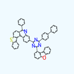 c1ccc(-c2ccc(-c3nc(-c4ccc5c(c4)nc(-c4ccccc4)c4ccc6sc7ccccc7c6c45)nc(-c4cccc5oc6ccccc6c45)n3)cc2)cc1